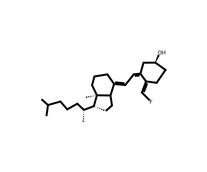 CC(C)CCC[C@@H](C)[C@H]1CCC2C(=C/C=C3/C[C@@H](O)CCC3=CF)CCC[C@@]21C